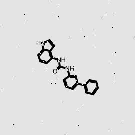 O=C(Nc1cccc(-c2ccccc2)c1)Nc1cccc2[nH]ccc12